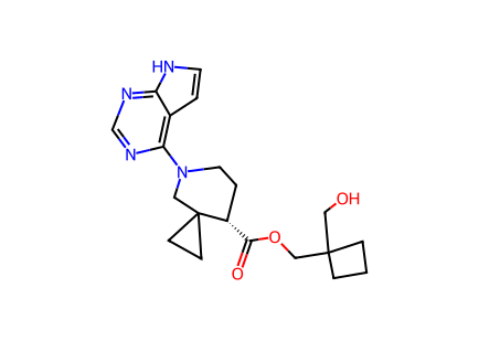 O=C(OCC1(CO)CCC1)[C@H]1CCN(c2ncnc3[nH]ccc23)CC12CC2